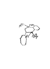 CCCC1(CCC)CC(C2CCCCC2)C(CCC)(CCC)C2CCCCC21